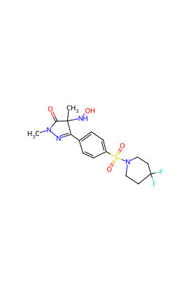 CN1N=C(c2ccc(S(=O)(=O)N3CCC(F)(F)CC3)cc2)C(C)(NO)C1=O